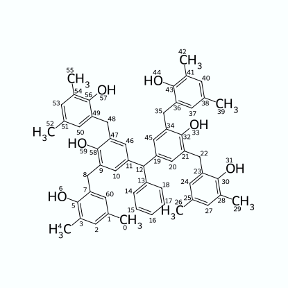 Cc1cc(C)c(O)c(Cc2cc(C(c3ccccc3)c3cc(Cc4cc(C)cc(C)c4O)c(O)c(Cc4cc(C)cc(C)c4O)c3)cc(Cc3cc(C)cc(C)c3O)c2O)c1